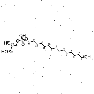 CCCCCCCCCCCCCCCCOP(=O)(O)OCC(O)CO